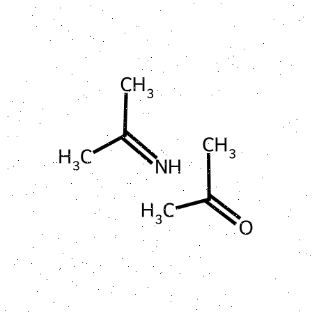 CC(C)=N.CC(C)=O